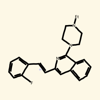 CCN1CCN(c2nc(/C=C/c3ccccc3F)cc3ccccc23)CC1